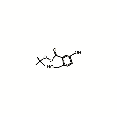 CC(C)(C)OOC(=O)c1cc(O)ccc1CO